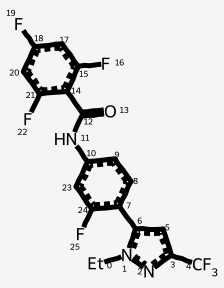 CCn1nc(C(F)(F)F)cc1-c1ccc(NC(=O)c2c(F)cc(F)cc2F)cc1F